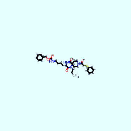 CCCN1C(=O)[C@H](CCCCNC(=O)OCc2ccccc2)NC(=O)C12CCN(C(=O)CSc1ccccc1)CC2